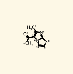 CC(=O)c1c(C)nc2sccn12